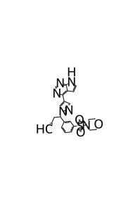 C#CCC(c1cccc(S(=O)(=O)N2CCOCC2)c1)n1cc(-c2ncnc3[nH]ccc23)cn1